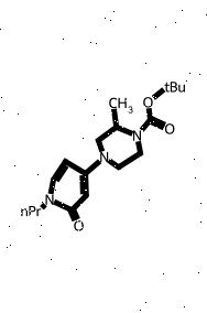 CCCn1ccc(N2CCN(C(=O)OC(C)(C)C)C(C)C2)cc1=O